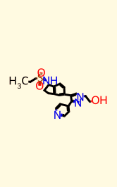 CCCS(=O)(=O)NC1CCc2cc(-c3cn(CCO)nc3-c3ccncc3)ccc21